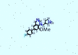 COc1cc(-c2ccc(F)cc2)cc2c1N(CC1CCN(C)C1)CN=C2